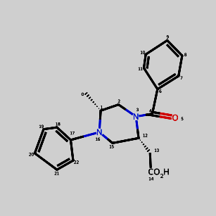 C[C@@H]1CN(C(=O)c2ccccc2)[C@H](CC(=O)O)CN1c1ccccc1